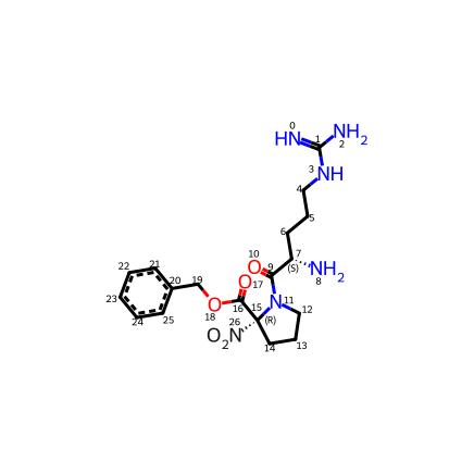 N=C(N)NCCC[C@H](N)C(=O)N1CCC[C@]1(C(=O)OCc1ccccc1)[N+](=O)[O-]